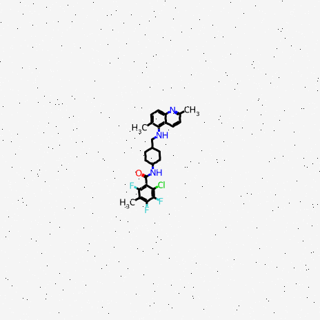 Cc1ccc2c(NCC3CCC(NC(=O)c4c(F)c(C)c(F)c(F)c4Cl)CC3)c(C)ccc2n1